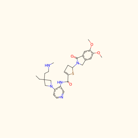 CCC1(CCNC)CN(c2ccncc2NC(=O)C2=CCC(N3Cc4cc(OC)c(OC)cc4C3=O)S2)C1